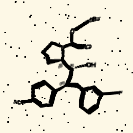 CC(C)(C)OC(=O)N1CCC[C@@H]1[C@H](O)[C@H](c1ccc(C#N)cc1)c1cccc(F)c1